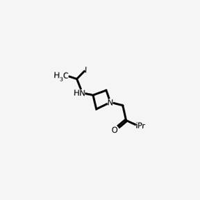 CC(I)NC1CN(CC(=O)C(C)C)C1